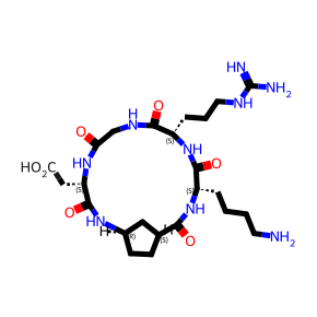 N=C(N)NCCC[C@@H]1NC(=O)[C@H](CCCCN)NC(=O)[C@H]2CC[C@H](C2)NC(=O)[C@H](CC(=O)O)NC(=O)CNC1=O